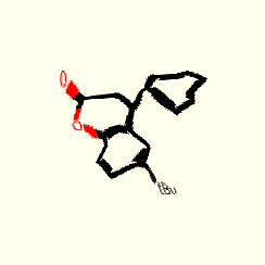 CC(C)(C)c1ccc2c(c1)C(c1ccccc1)CC(=O)O2